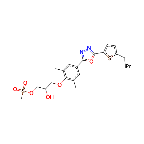 Cc1cc(-c2nnc(-c3ccc(CC(C)C)s3)o2)cc(C)c1OCC(O)COS(C)(=O)=O